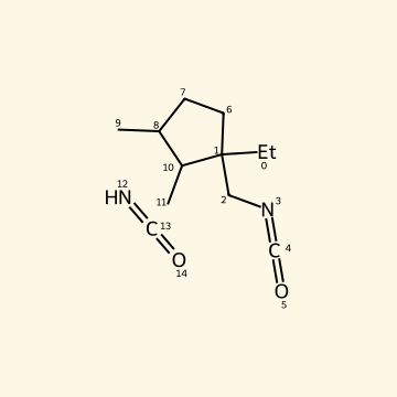 CCC1(CN=C=O)CCC(C)C1C.N=C=O